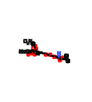 COC(=O)[C@@H]1[CH][CH][CH]C(Oc2ccc(CCCOCCOCCOCCNC(=O)OCC3c4ccccc4-c4ccccc43)cc2COC(=O)Oc2ccc([N+](=O)[O-])cc2)O1